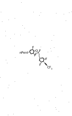 CCCCCc1cc(F)c(OC(F)(F)CCc2cc(F)c(C#CC(F)(F)F)c(F)c2)c(F)c1